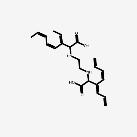 C=C/C=C\C(=C/C=C)C(NCCNC(C(=O)O)C(/C=C\C=C/C)=C/C)C(=O)O